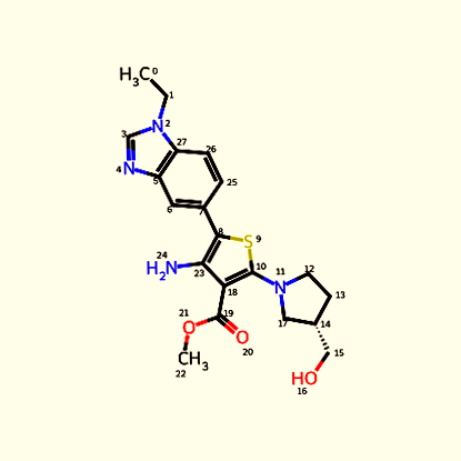 CCn1cnc2cc(-c3sc(N4CC[C@H](CO)C4)c(C(=O)OC)c3N)ccc21